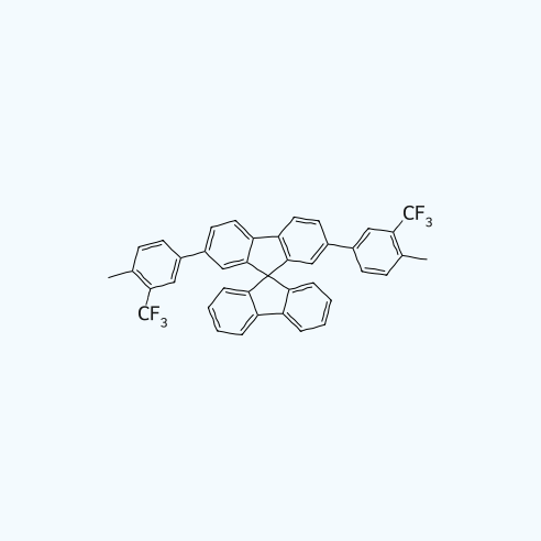 Cc1ccc(-c2ccc3c(c2)C2(c4ccccc4-c4ccccc42)c2cc(-c4ccc(C)c(C(F)(F)F)c4)ccc2-3)cc1C(F)(F)F